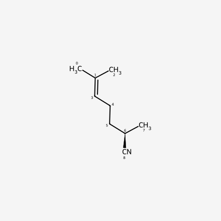 CC(C)=CCC[C@@H](C)C#N